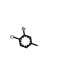 [CH2]c1ccc(Cl)c(Br)c1